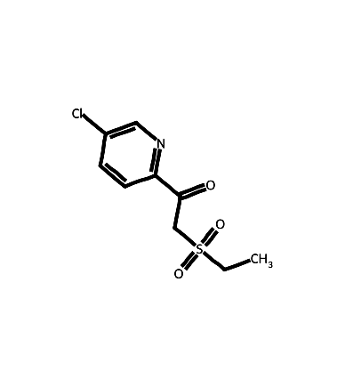 CCS(=O)(=O)CC(=O)c1ccc(Cl)cn1